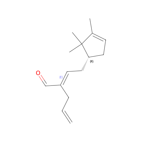 C=CC/C(C=O)=C\C[C@H]1CC=C(C)C1(C)C